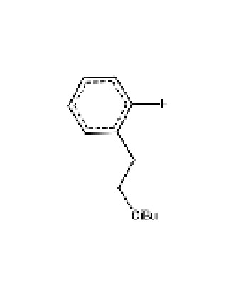 CC(C)COCCc1ccccc1F